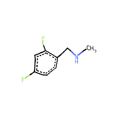 CNCc1ccc(F)cc1F